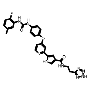 Cc1ccc(F)c(NC(=O)Nc2ccc(Oc3ccnc(-c4cc(C(=O)NCCc5nn[nH]n5)c[nH]4)c3)cc2)c1